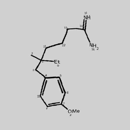 CCC(C)([CH]c1ccc(OC)cc1)CCCC(=N)N